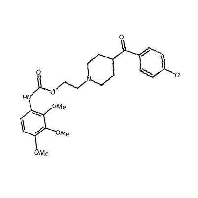 COc1ccc(NC(=O)OCCN2CCC(C(=O)c3ccc(Cl)cc3)CC2)c(OC)c1OC